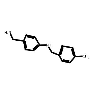 Cc1ccc(CNc2ccc(CN)cc2)cc1